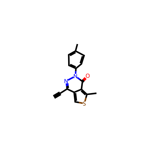 C#Cc1nn(-c2ccc(C)cc2)c(=O)c2c(C)scc12